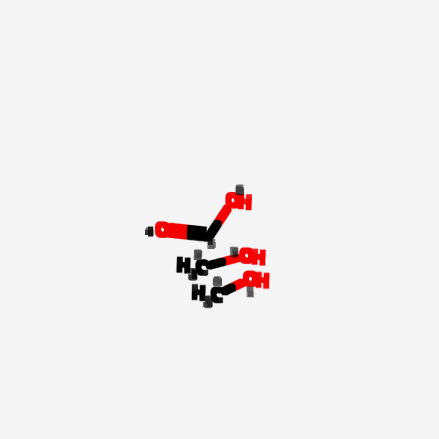 CO.CO.O=CO